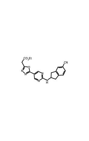 CCOC(=O)Cc1nnc(-c2cnc(NC3Cc4ccc(C#N)cc4C3)nc2)o1